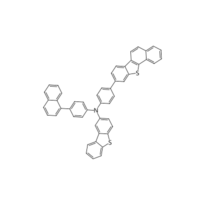 c1ccc2c(-c3ccc(N(c4ccc(-c5ccc6c(c5)sc5c7ccccc7ccc65)cc4)c4ccc5sc6ccccc6c5c4)cc3)cccc2c1